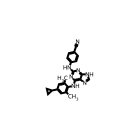 Cc1cc(C2CC2)cc(C)c1Nc1nc(Nc2ccc(C#N)cc2)nc2[nH]cnc12